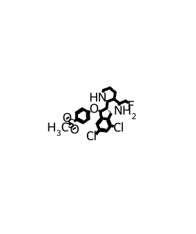 CS(=O)(=O)c1ccc(O[C@@H]2c3cc(Cl)cc(Cl)c3C[C@H]2[C@@H]2NCCCC2C(N)CF)cc1